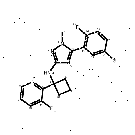 Cn1nc(NC2(c3ncccc3F)CCC2)nc1-c1cc(Br)ccc1F